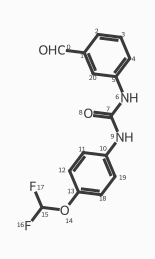 O=Cc1cccc(NC(=O)Nc2ccc(OC(F)F)cc2)c1